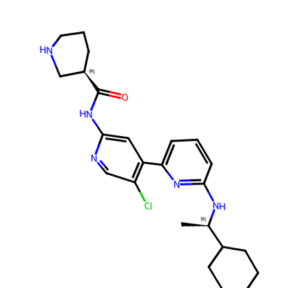 C[C@@H](Nc1cccc(-c2cc(NC(=O)[C@@H]3CCCNC3)ncc2Cl)n1)C1CCCCC1